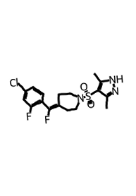 Cc1n[nH]c(C)c1S(=O)(=O)N1CCC(=C(F)c2ccc(Cl)cc2F)CC1